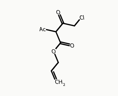 C=CCOC(=O)C(C(C)=O)C(=O)CCl